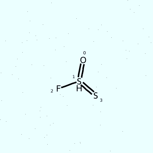 O=[SH](F)=S